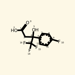 O=C(O)CC(O)(c1ccc(F)cc1)C(F)(F)F